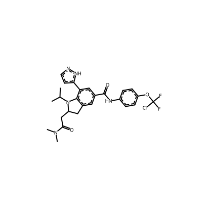 CC(C)N1c2c(cc(C(=O)Nc3ccc(OC(F)(F)Cl)cc3)cc2-c2ccn[nH]2)CC1CC(=O)N(C)C